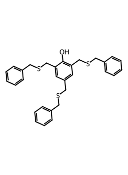 Oc1c(CSCc2ccccc2)cc(CSCc2ccccc2)cc1CSCc1ccccc1